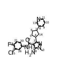 Cn1nc(C2CCC(c3cccnc3)C2)c(C(=O)Nc2ccc(F)c(Cl)c2)c1N